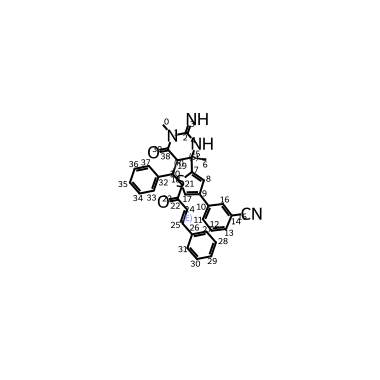 CN1C(=N)N[C@](C)(c2cc(-c3cccc(C#N)c3)cs2)[C@@H](C(CC(=O)/C=C/c2ccccc2)c2ccccc2)C1=O